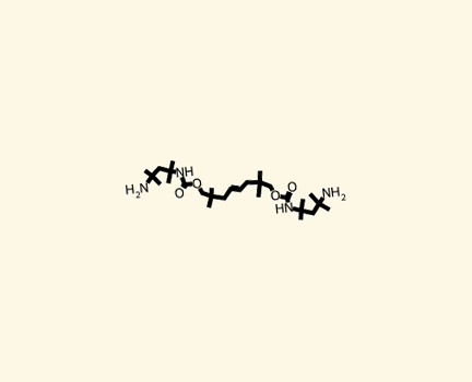 CC(C)(N)CC(C)(C)NC(=O)OCC(C)(C)C/C=C/CC(C)(C)COC(=O)NC(C)(C)CC(C)(C)N